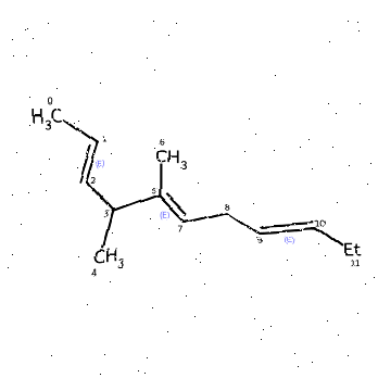 C/C=C/C(C)/C(C)=C/C/C=C/CC